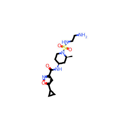 C[C@H]1C[C@@H](NC(=O)c2cc(C3CC3)on2)CCN1S(=O)(=O)NCCN